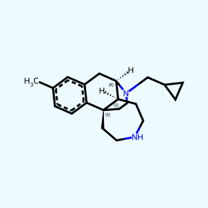 Cc1ccc2c(c1)C[C@@H]1[C@H]3CCNCC[C@@]23CCN1CC1CC1